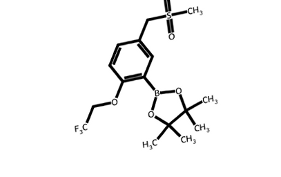 CC1(C)OB(c2cc(CS(C)(=O)=O)ccc2OCC(F)(F)F)OC1(C)C